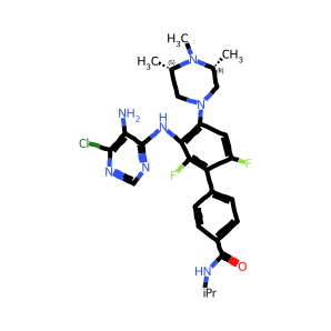 CC(C)NC(=O)c1ccc(-c2c(F)cc(N3C[C@@H](C)N(C)[C@@H](C)C3)c(Nc3ncnc(Cl)c3N)c2F)cc1